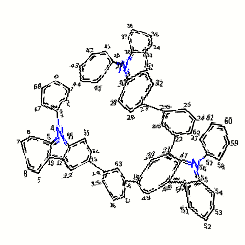 c1ccc(-n2c3ccccc3c3cc(-c4cccc(-c5cc(-c6cccc(-c7ccc8c(c7)c7ccccc7n8-c7ccccc7)c6)c6c(c5)c5ccccc5n6-c5ccccc5)c4)ccc32)cc1